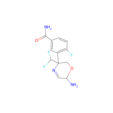 NC(=O)c1ccc(F)c(C2(C(F)F)COC(N)C=N2)c1